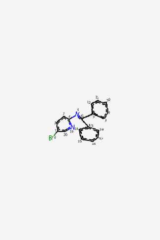 Brc1ccc(N=C(c2ccccc2)c2ccccc2)nc1